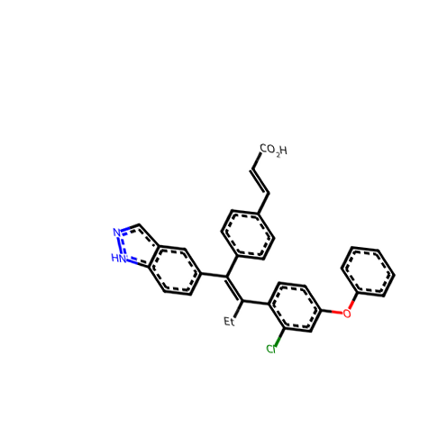 CC/C(=C(/c1ccc(/C=C/C(=O)O)cc1)c1ccc2[nH]ncc2c1)c1ccc(Oc2ccccc2)cc1Cl